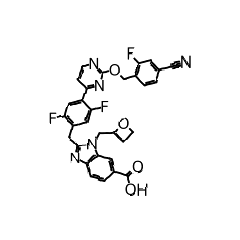 N#Cc1ccc(COc2nccc(-c3cc(F)c(Cc4nc5ccc(C(=O)O)cc5n4CC4CCO4)cc3F)n2)c(F)c1